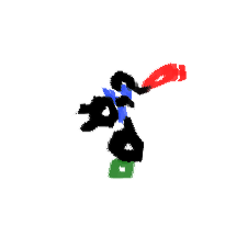 Cc1cc2nc([C@H](C)N3CCC[C@H]3CO)n(Cc3ccc(Cl)cc3)c2cc1C